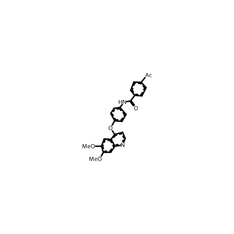 COc1cc2nccc(Oc3ccc(NC(=O)c4ccc(C(C)=O)cc4)cc3)c2cc1OC